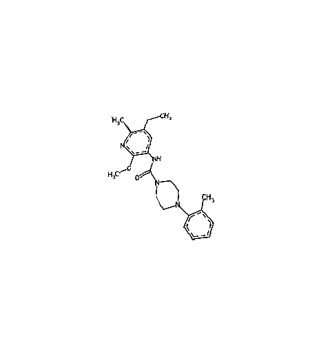 CCc1cc(NC(=O)N2CCN(c3ccccc3C)CC2)c(OC)nc1C